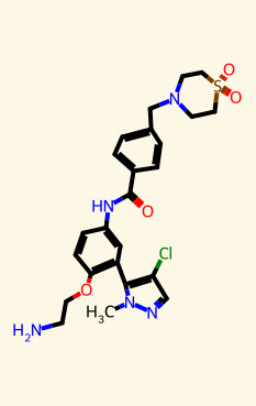 Cn1ncc(Cl)c1-c1cc(NC(=O)c2ccc(CN3CCS(=O)(=O)CC3)cc2)ccc1OCCN